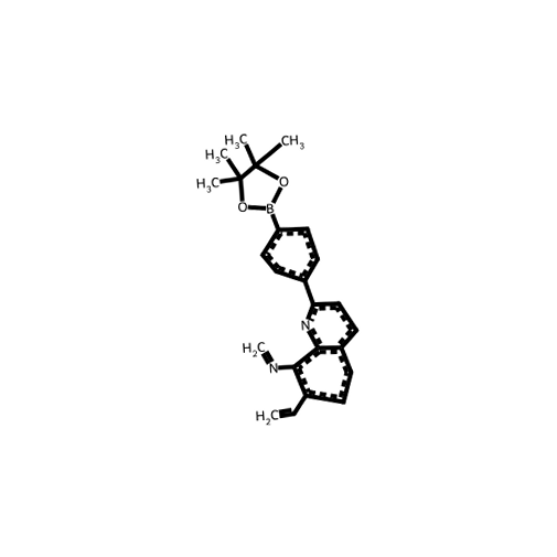 C=Cc1ccc2ccc(-c3ccc(B4OC(C)(C)C(C)(C)O4)cc3)nc2c1N=C